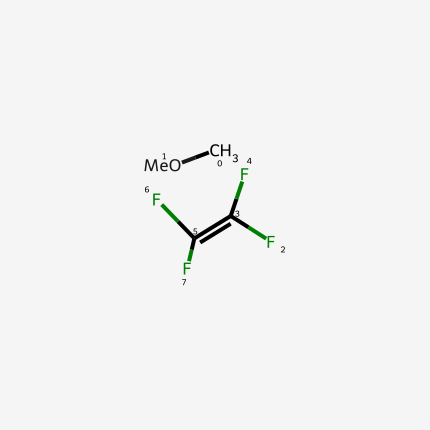 COC.FC(F)=C(F)F